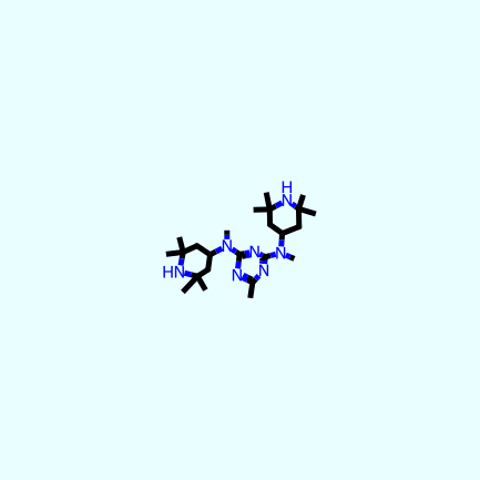 Cc1nc(N(C)C2CC(C)(C)NC(C)(C)C2)nc(N(C)C2CC(C)(C)NC(C)(C)C2)n1